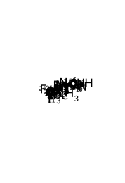 CCn1c(C2CCc3[nH]ncc3C2)nnc1C1(C)Oc2c(F)cc(F)cc2C1F